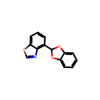 [c]1nc2c(C3Oc4ccccc4O3)cccc2s1